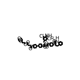 Nc1c(Cl)cc(C[C@@H](OC(=O)N2CCC(N3CCc4ccccc4NC3=O)CC2)C(=O)N2CCC(C3CCN(C(=O)CCC(=O)OCCN4CCOCC4)CC3)CC2)cc1C(F)(F)F